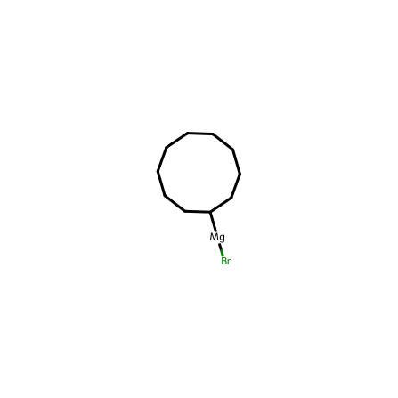 [Br][Mg][CH]1CCCCCCCCC1